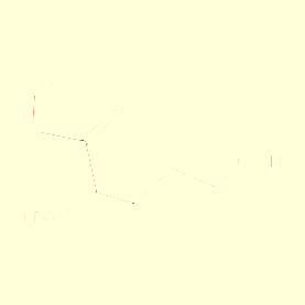 CCCCCCCCCCC(CCCC(=O)O)C(=O)OCCCCCCCC